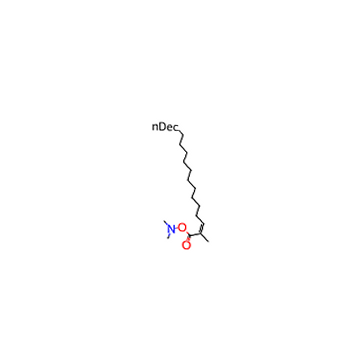 CCCCCCCCCCCCCCCCCCCCC=C(C)C(=O)ON(C)C